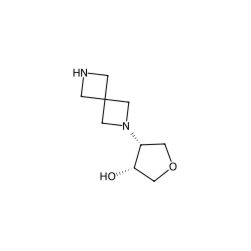 O[C@H]1COC[C@H]1N1CC2(CNC2)C1